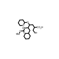 CC(C)CC(CC(OC1CCCCO1)C(CC1CCCCC1)NC(=O)OC(C)(C)C)C(=O)O